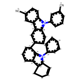 N#Cc1cccc(-n2c3ccc(C#N)cc3c3cc(-c4cccc5c6c(n(-c7ccccc7)c45)C=CCC6)ccc32)c1